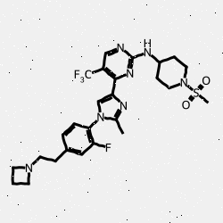 Cc1nc(-c2nc(NC3CCN(S(C)(=O)=O)CC3)ncc2C(F)(F)F)cn1-c1ccc(CCN2CCC2)cc1F